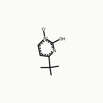 CC(C)(C)c1cc[n+]([O-])c(O)n1